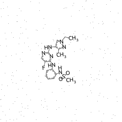 CCn1cc(Nc2ncc(F)c(Nc3ccccc3NS(C)(=O)=O)n2)c(C)n1